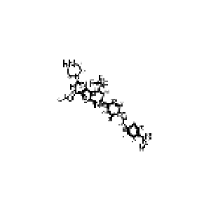 CCOc1nc(N2CCNCC2)nc2c1sc1nc(-c3ccc(OCc4ccc([N+](=O)[O-])cc4)cc3)cc(C(F)(F)F)c12